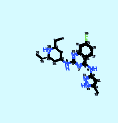 CCC1CC(Nc2nc(Nc3cc(C)[nH]n3)c3ccc(F)cc3n2)C[C@H](CC)N1